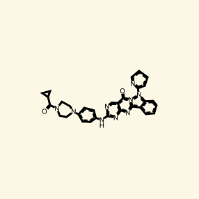 O=C(C1CC1)N1CCN(c2ccc(Nc3ncc4c(=O)n5c(nc4n3)c3ccccc3n5-c3ccccn3)cc2)CC1